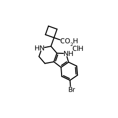 Cl.O=C(O)C1(C2NCCc3c2[nH]c2ccc(Br)cc32)CCC1